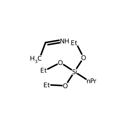 CC=N.CCC[Si](OCC)(OCC)OCC